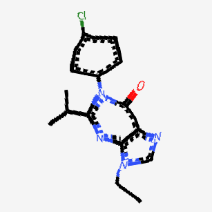 CCn1cnc2c(=O)n(-c3ccc(Cl)cc3)c(C(C)C)nc21